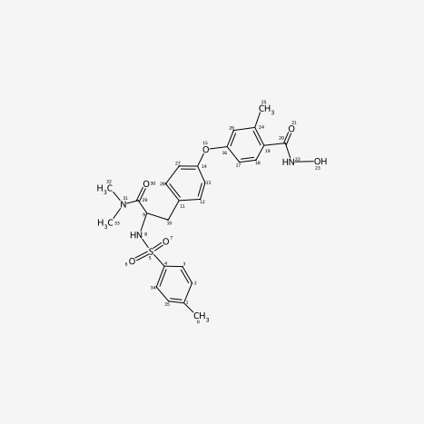 Cc1ccc(S(=O)(=O)NC(Cc2ccc(Oc3ccc(C(=O)NO)c(C)c3)cc2)C(=O)N(C)C)cc1